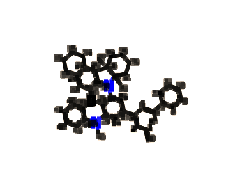 C=C/C=C(\C=C(/C)c1ccccc1)c1cc2c3c(c1)N1c4c(cc5c(c4C4(C)CCCCC14C)CCCC5)B3c1ccccc1N2C